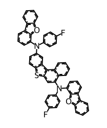 Fc1ccc(N(c2ccc3sc4cc(N(c5ccc(F)cc5)c5cccc6c5oc5ccccc56)c5ccccc5c4c3c2)c2cccc3c2oc2ccccc23)cc1